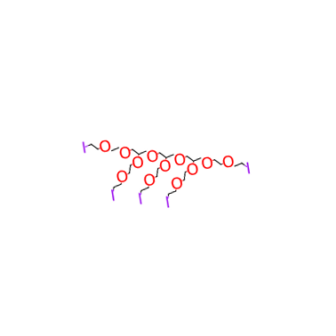 ICCOCCOCC(COCC(COCC(COCCOCCI)OCCOCCI)OCCOCCI)OCCOCCI